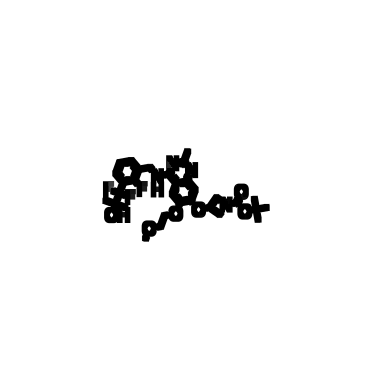 COCCOc1cc2c(NCc3cccc(C(F)(F)C(C)(C)O)c3F)nc(C)nc2cc1OC1CN(C(=O)OC(C)(C)C)C1